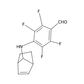 O=Cc1c(F)c(F)c(NC2C3C=CC2CC3)c(F)c1F